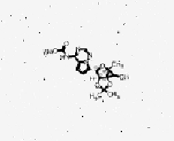 CC(C)COC(=O)Nc1ncnn2c([C@@H]3O[C@]4(C)C(O)[C@@]45OC(C)(C)O[C@@H]35)ccc12